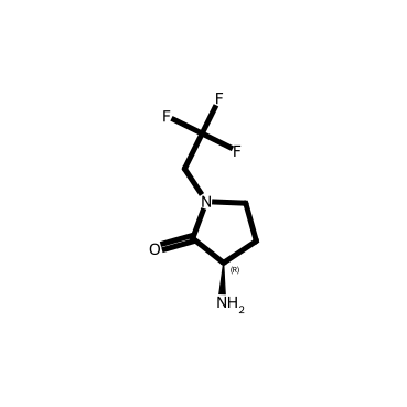 N[C@@H]1CCN(CC(F)(F)F)C1=O